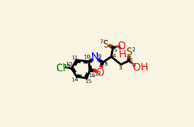 OC(=S)CC(C(O)=S)c1nc2cc(Cl)ccc2o1